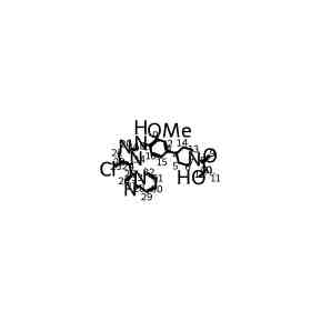 COc1cc(C2CCN(C(=O)[C@H](C)O)CC2)ccc1Nc1ncc(Cl)c(-c2cnc3ccccn23)n1